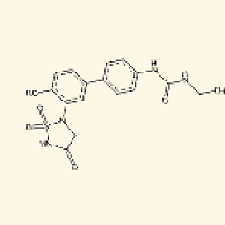 CCNC(=O)Nc1ccc(-c2ccc(O)c(N3CC(=O)NS3(=O)=O)c2)cc1